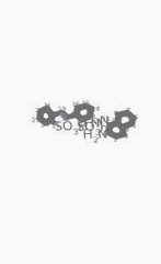 Nc1ccc2ccccc2c1/N=N/c1cccc(/C=C/c2ccccc2S(=O)(=O)O)c1S(=O)(=O)O